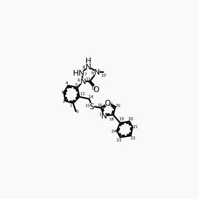 Cc1cccc(N2NNN(C)C2=O)c1CSc1nc(-c2ccccc2)co1